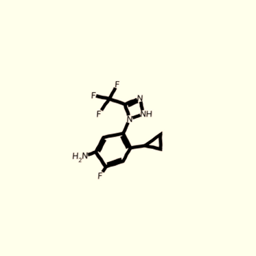 Nc1cc(-n2[nH]nc2C(F)(F)F)c(C2CC2)cc1F